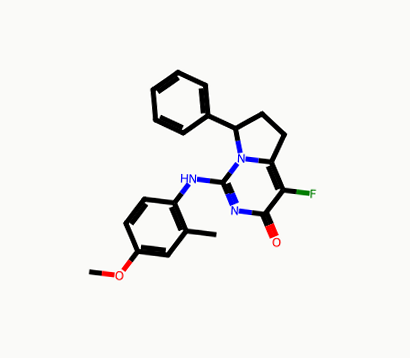 COc1ccc(Nc2nc(=O)c(F)c3n2C(c2ccccc2)CC3)c(C)c1